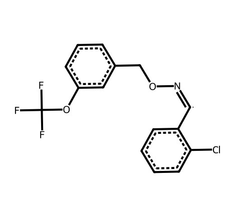 FC(F)(F)Oc1cccc(CO/N=[C]\c2ccccc2Cl)c1